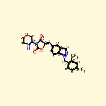 O=C1S/C(=C\c2ccc3c(cnn3Cc3ccc(C(F)(F)F)cc3C(F)(F)F)c2)C(=O)N1C1COCCN1